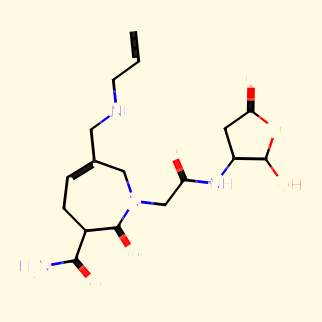 C=CCNCC1=CCC(C(N)=O)C(=O)N(CC(=O)NC2CC(=O)OC2O)C1